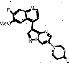 COc1cc2c(-c3cnn4cc(N5CCC(=O)CC5)cnc34)ccnc2cc1F